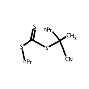 CCCSC(=S)SC(C)(C#N)CCC